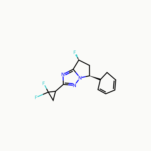 F[C@H]1C[C@@H](C2C=CC=CC2)n2nc(C3CC3(F)F)nc21